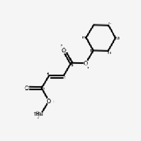 CC(C)(C)OC(=O)C=CC(=O)OC1CCCCC1